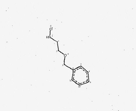 ClNCCOCc1ccccc1